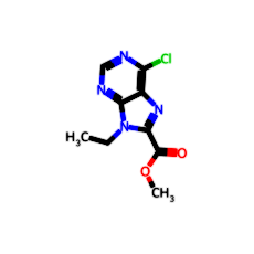 CCn1c(C(=O)OC)nc2c(Cl)ncnc21